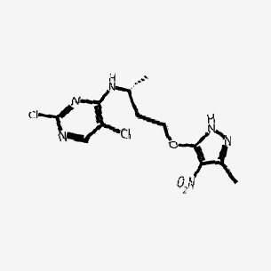 Cc1n[nH]c(OCC[C@@H](C)Nc2nc(Cl)ncc2Cl)c1[N+](=O)[O-]